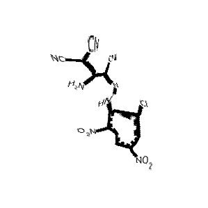 N#CC(=NNc1c(Cl)cc([N+](=O)[O-])cc1[N+](=O)[O-])C(N)=C(C#N)C#N